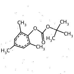 Cc1cc(C)c(OC(=O)OC(C)(C)C)c(C)c1